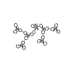 c1ccc(-n2c3ccccc3c3cc(-c4ccc5c(c4)c4cc(-c6ccc7c(c6)c6ccccc6n7-c6ccccc6)ccc4n5-c4cccc(-c5nc(-c6ccc7ccc(-n8c9ccc(-c%10ccc%11c(c%10)c%10ccccc%10n%11-c%10ccccc%10)cc9c9cc(-c%10ccc%11c(c%10)c%10ccccc%10n%11-c%10ccccc%10)ccc98)cc7c6)c6ccccc6n5)c4)ccc32)cc1